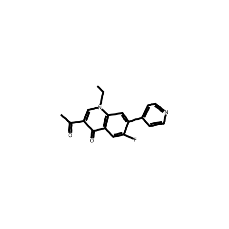 CCn1cc(C(C)=O)c(=O)c2cc(F)c(-c3ccncc3)cc21